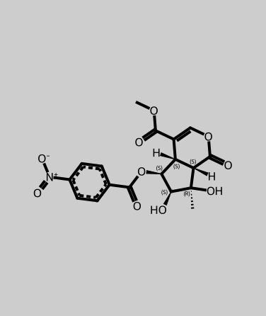 COC(=O)C1=COC(=O)[C@H]2[C@@H]1[C@H](OC(=O)c1ccc([N+](=O)[O-])cc1)[C@H](O)[C@]2(C)O